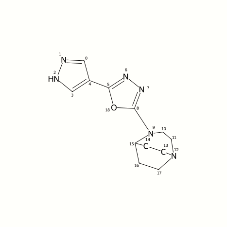 c1n[nH]cc1-c1nnc(N2CCN3CCC2CC3)o1